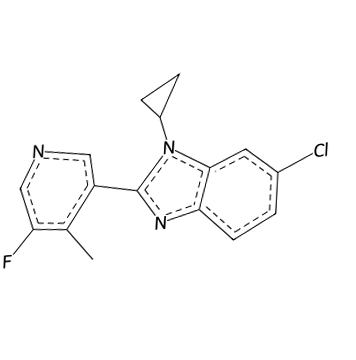 Cc1c(F)cncc1-c1nc2ccc(Cl)cc2n1C1CC1